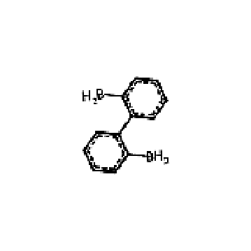 Bc1ccccc1-c1ccccc1B